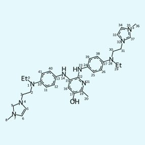 CCN(CCN1C=CN(C)C1)c1ccc(Nc2cc(O)c(C)nc2Nc2ccc(N(CC)CCn3cc[n+](C)c3)cc2)cc1